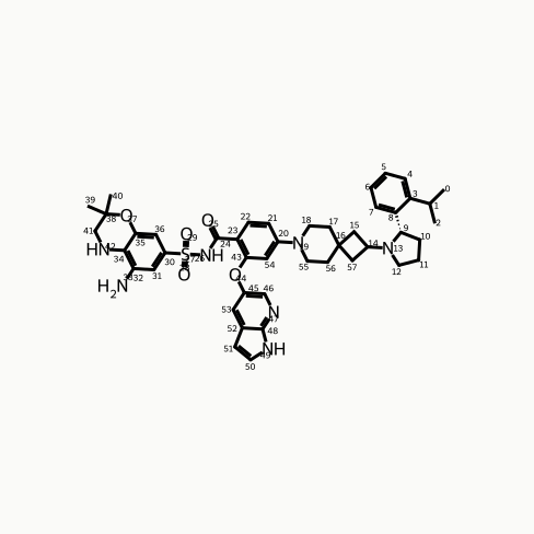 CC(C)c1ccccc1[C@@H]1CCCN1C1CC2(CCN(c3ccc(C(=O)NS(=O)(=O)c4cc(N)c5c(c4)OC(C)(C)CN5)c(Oc4cnc5[nH]ccc5c4)c3)CC2)C1